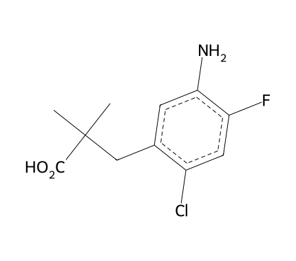 CC(C)(Cc1cc(N)c(F)cc1Cl)C(=O)O